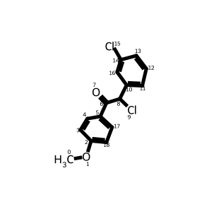 COc1ccc(C(=O)C(Cl)c2cccc(Cl)c2)cc1